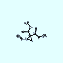 C=C[C@H]1CC1(C(=O)OC)C(=O)OC